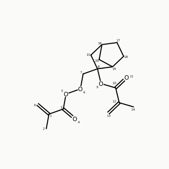 C=C(C)C(=O)OOCC1(OC(=O)C(=C)C)CC2CCC1C2